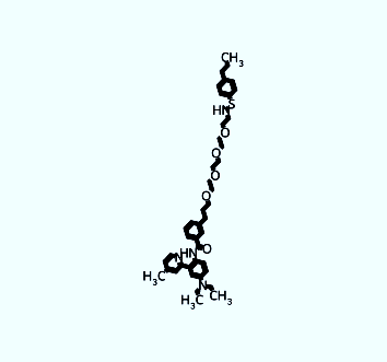 CCCc1ccc(SNCCOCCOCCOCCOCCCc2cccc(C(=O)Nc3ccc(N(CC)CC)cc3-c3cc(C)ccn3)c2)cc1